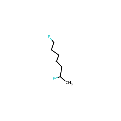 CC(F)C[CH]CCCF